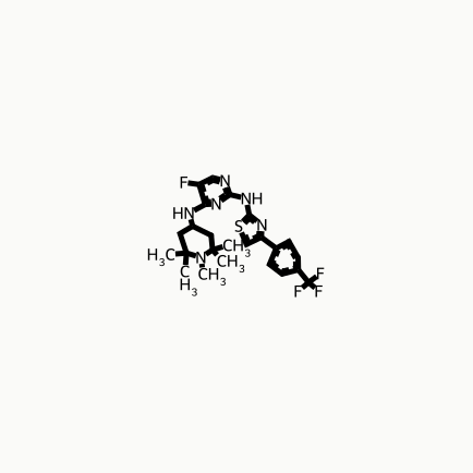 CN1C(C)(C)CC(Nc2nc(Nc3nc(-c4ccc(C(F)(F)F)cc4)cs3)ncc2F)CC1(C)C